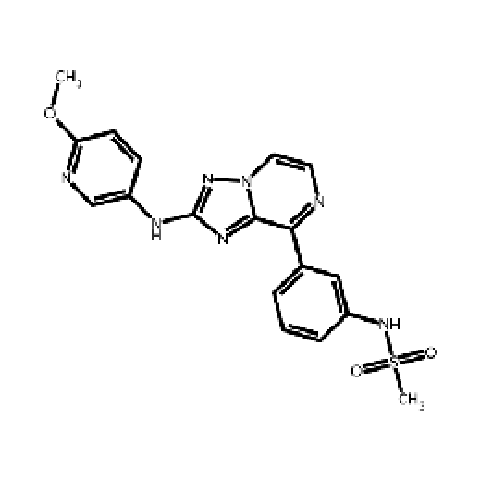 COc1ccc(Nc2nc3c(-c4cccc(NS(C)(=O)=O)c4)nccn3n2)cn1